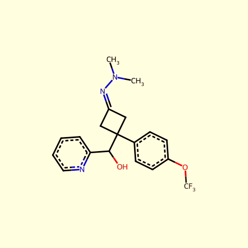 CN(C)N=C1CC(c2ccc(OC(F)(F)F)cc2)(C(O)c2ccccn2)C1